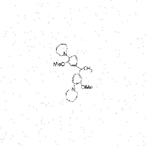 C=C(c1ccc(N2CCCCCC2)c(OC)c1)c1ccc(N2CCCCCC2)c(OC)c1